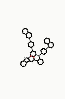 c1cc(-c2ccc(-c3ccc4ccccc4c3)cc2)cc(N(c2ccc(-c3cccc4ccccc34)cc2)c2ccccc2-c2ccc3oc4ccccc4c3c2)c1